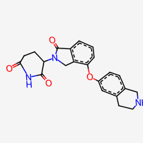 O=C1CCC(N2Cc3c(Oc4ccc5c(c4)CCNC5)cccc3C2=O)C(=O)N1